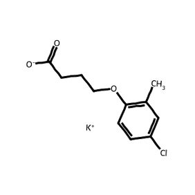 Cc1cc(Cl)ccc1OCCCC(=O)[O-].[K+]